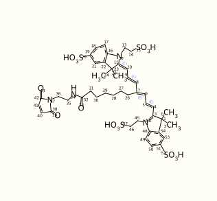 CC1(C)C(/C=C/C=C(/C=C/C=C2/N(CCS(=O)(=O)O)c3ccc(S(=O)(=O)O)cc3C2(C)C)CCCCCCC(=O)NCCN2C(=O)C=CC2=O)=[N+](CCS(=O)(=O)O)c2ccc(S(=O)(=O)O)cc21